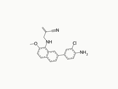 C=C(C#N)CNc1c(OC)ccc2ccc(-c3ccc(N)c(Cl)c3)cc12